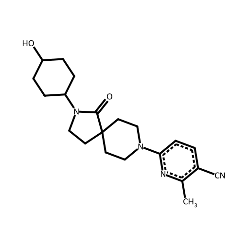 Cc1nc(N2CCC3(CC2)CCN(C2CCC(O)CC2)C3=O)ccc1C#N